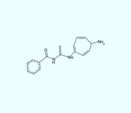 NC1C=CC=C(NC(=S)NC(=O)c2ccccc2)C=C1